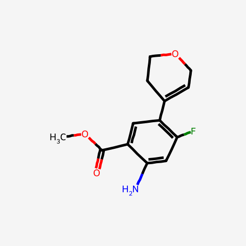 COC(=O)c1cc(C2=CCOCC2)c(F)cc1N